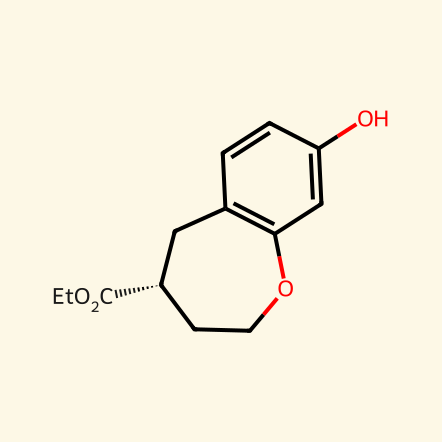 CCOC(=O)[C@H]1CCOc2cc(O)ccc2C1